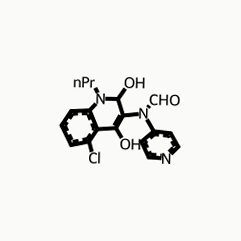 CCCN1c2cccc(Cl)c2C(O)=C(N(C=O)c2ccncc2)C1O